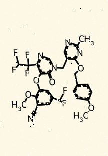 COc1ccc(COc2nc(C)ncc2Cn2cnc(C(F)(F)C(F)F)c(Oc3cc(C(F)F)cc(C#N)c3OC)c2=O)cc1